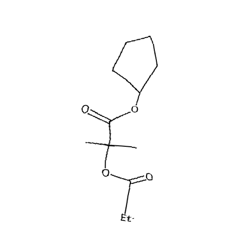 C[CH]C(=O)OC(C)(C)C(=O)OC1CCCC1